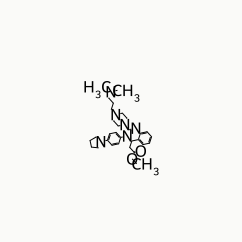 COC(=O)CC1c2ccccc2N=C(N2CCN(CCCN(C)C)CC2)N1c1ccc(N2CCCC2)cc1